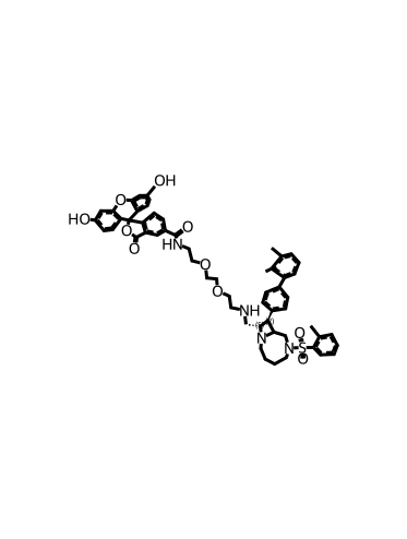 Cc1ccccc1S(=O)(=O)N1CCCCN2C(C1)[C@H](c1ccc(-c3cccc(C)c3C)cc1)[C@H]2CNCCOCCOCCNC(=O)c1ccc2c(c1)C(=O)OC21c2ccc(O)cc2Oc2cc(O)ccc21